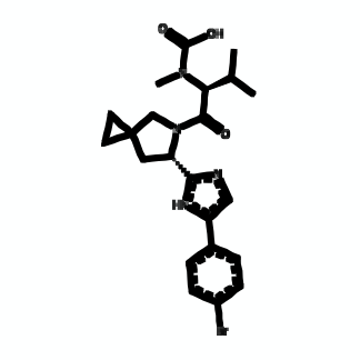 CC(C)[C@@H](C(=O)N1CC2(CC2)C[C@H]1c1ncc(-c2ccc(Br)cc2)[nH]1)N(C)C(=O)O